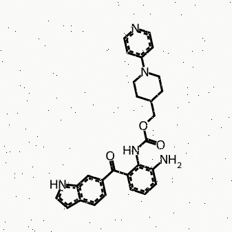 Nc1cccc(C(=O)c2ccc3cc[nH]c3c2)c1NC(=O)OCC1CCN(c2ccncc2)CC1